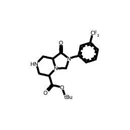 CC(C)(C)OC(=O)C1CNCC2C(=O)N(c3cccc(C(F)(F)F)c3)CN12